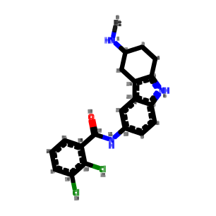 CCNC1CCc2[nH]c3ccc(NC(=O)c4cccc(Cl)c4Cl)cc3c2C1